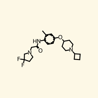 Cc1cc(OC2CCN(C3CCC3)CC2)ccc1NC(=O)CN1CCC(F)(F)C1